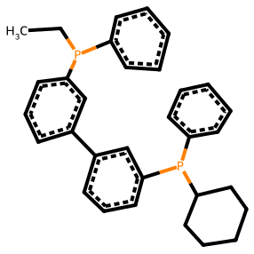 CCP(c1ccccc1)c1cccc(-c2cccc(P(c3ccccc3)C3CCCCC3)c2)c1